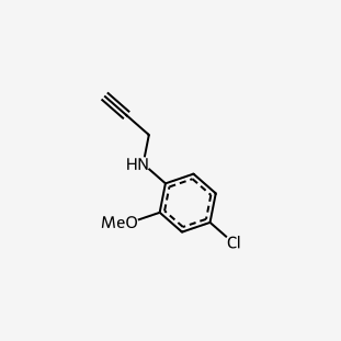 C#CCNc1ccc(Cl)cc1OC